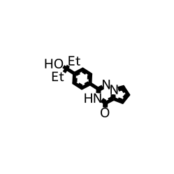 CCC(O)(CC)c1ccc(-c2nn3cccc3c(=O)[nH]2)cc1